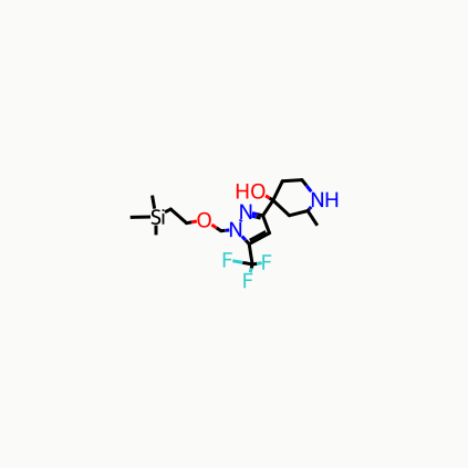 CC1CC(O)(c2cc(C(F)(F)F)n(COCC[Si](C)(C)C)n2)CCN1